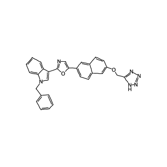 c1ccc(Cn2cc(-c3ncc(-c4ccc5cc(OCc6nnn[nH]6)ccc5c4)o3)c3ccccc32)cc1